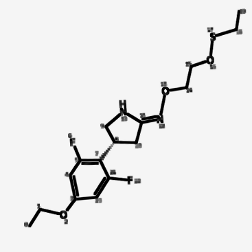 CCOc1cc(F)c([C@@H]2CN/C(=N\OCCOSCC)C2)c(F)c1